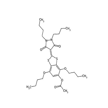 CCCCOc1cc(OC(C)=O)c(OCCCC)c2c1SC(=C1C(=O)N(CCCC)N(CCCC)C1=O)S2